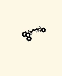 C(=Cc1nc2c3ccccc3c3ccccc3c2s1)C=C1Nc2ccccc2S1